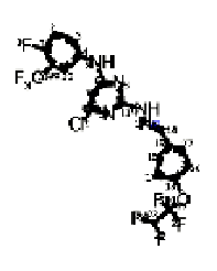 Fc1ccc(Nc2cc(Cl)nc(N/N=C/c3ccc(OC(F)(F)C(F)F)cc3)n2)cc1C(F)(F)F